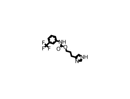 O=C(Nc1cccc(C(F)(F)F)c1)OCCCc1c[nH]cn1